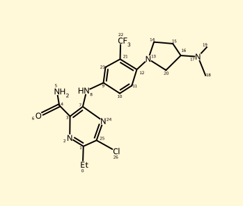 CCc1nc(C(N)=O)c(Nc2ccc(N3CCC(N(C)C)C3)c(C(F)(F)F)c2)nc1Cl